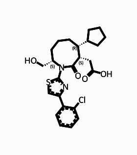 O=C(O)C[C@@H]1C(=O)N(c2nc(-c3ccccc3Cl)cs2)[C@H](CO)CCC[C@@H]1C1CCCC1